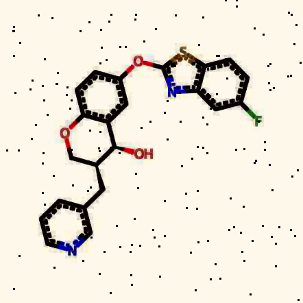 O[C@@H]1c2cc(Oc3nc4cc(F)ccc4s3)ccc2OC[C@@H]1Cc1cccnc1